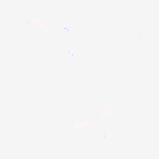 CS(=O)(=O)c1ccc(N2CC(O)(C(F)(F)F)N=C2c2ccc(Br)cc2)cc1